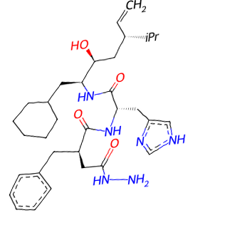 C=C[C@@H](C[C@H](O)[C@H](CC1CCCCC1)NC(=O)[C@H](Cc1c[nH]cn1)NC(=O)[C@@H](CC(=O)NN)Cc1ccccc1)C(C)C